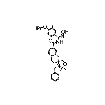 Cc1cc(/C(=N\O)NC(=O)c2ccc3c(c2)CC2(CC3)COC(C)(C)N2Cc2ccccc2)ccc1OC(C)C